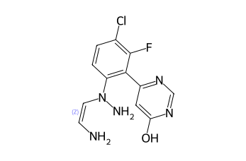 N/C=C\N(N)c1ccc(Cl)c(F)c1-c1cc(O)ncn1